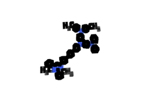 Cc1ccc(N(c2ccc(C)cc2)c2ccc3c(c2)c2cc(N(c4ccccc4)c4ccccc4)ccc2n3-c2ccc(-c3ccc(-c4ccc(-c5cc(-c6ccccc6C)nc(-c6ccccc6C)n5)cc4)cc3)cc2)cc1